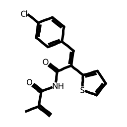 C=C(C)C(=O)NC(=O)/C(=C\c1ccc(Cl)cc1)c1cccs1